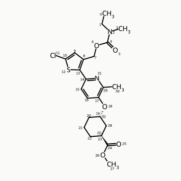 CCN(C)C(=O)OCc1cc(Cl)sc1-c1ccc(O[C@H]2CCC[C@H](C(=O)OC)C2)c(C)n1